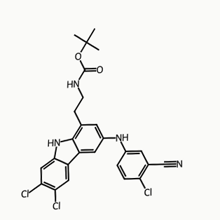 CC(C)(C)OC(=O)NCCc1cc(Nc2ccc(Cl)c(C#N)c2)cc2c1[nH]c1cc(Cl)c(Cl)cc12